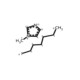 CCCCCCI.Cn1ccnc1